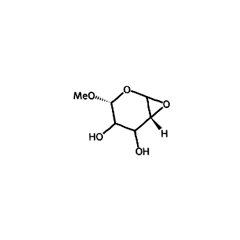 CO[C@@H]1OC2O[C@@H]2C(O)C1O